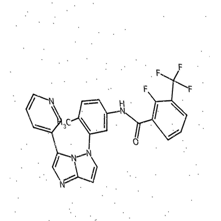 Cc1ccc(NC(=O)c2cccc(C(F)(F)F)c2F)cc1-n1ccc2ncc(-c3cccnc3)n21